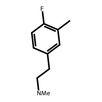 CNCCc1ccc(F)c(C)c1